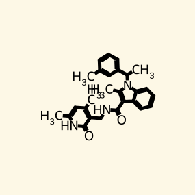 Cc1cccc(C(C)n2c(C)c(C(=O)NCc3c(C)cc(C)[nH]c3=O)c3ccccc32)c1